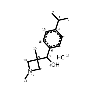 CC(C)c1ccc(C(O)C2(C)CN(C)C2)cc1.Cl